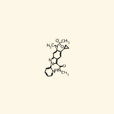 CNC(=O)c1c2cc(C3CC3)c(N(C)S(C)(=O)=O)cc2nn1-c1ccccn1